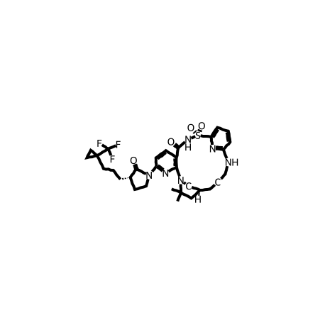 CC1(C)C[C@@H]2CCCNc3cccc(n3)S(=O)(=O)NC(=O)c3ccc(N4CC[C@H](CCCC5(C(F)(F)F)CC5)C4=O)nc3N1C2